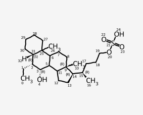 CC[C@H]1[C@@H](O)C2C(CC[C@@]3(C)C2CC[C@@H]3[C@H](C)CCCOS(=O)(=O)O)C2(C)CCCC[C@@H]12